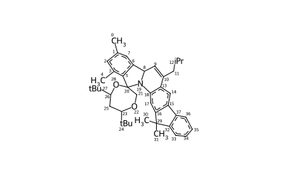 Cc1cc(C)c2c(c1)C1C=C(CC(C)C)c3cc4c(cc3N1C21COC(C(C)(C)C)CC(C(C)(C)C)O1)C(C)(C)c1ccccc1-4